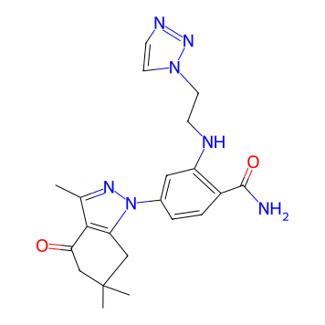 Cc1nn(-c2ccc(C(N)=O)c(NCCn3ccnn3)c2)c2c1C(=O)CC(C)(C)C2